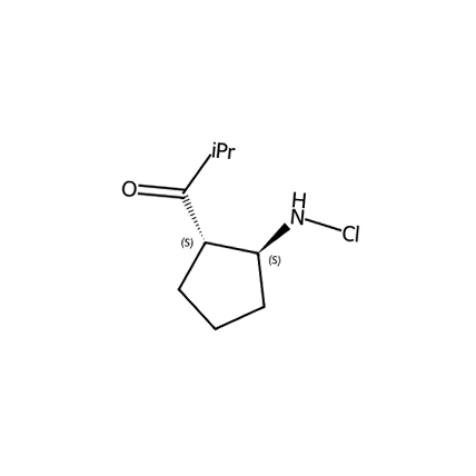 CC(C)C(=O)[C@H]1CCC[C@@H]1NCl